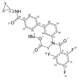 CC(C)(C)OC(=O)CN(C(=O)c1c(F)cc(F)cc1F)c1cccc(-c2ccc(C(=O)NC3CC3)cc2)c1